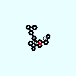 c1ccc(-c2ccccc2-c2ccc(-c3ccc(N(c4ccc(-c5cccc6c5oc5ccccc56)cc4)c4c(-c5ccccc5)c5ccccc5c5ccccc45)cc3)cc2)cc1